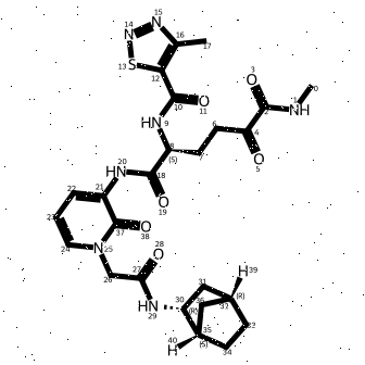 CNC(=O)C(=O)CC[C@H](NC(=O)c1snnc1C)C(=O)Nc1cccn(CC(=O)N[C@@H]2C[C@@H]3CC[C@H]2C3)c1=O